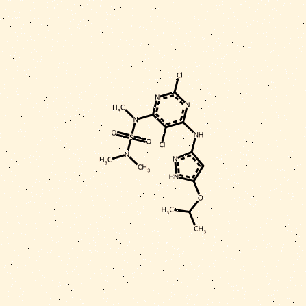 CC(C)Oc1cc(Nc2nc(Cl)nc(N(C)S(=O)(=O)N(C)C)c2Cl)n[nH]1